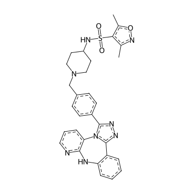 Cc1noc(C)c1S(=O)(=O)NC1CCN(Cc2ccc(-c3nnc4n3-c3cccnc3Nc3ccccc3-4)cc2)CC1